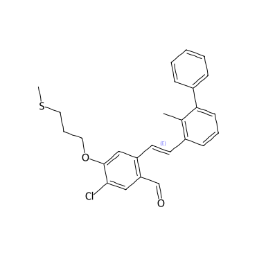 CSCCCOc1cc(/C=C/c2cccc(-c3ccccc3)c2C)c(C=O)cc1Cl